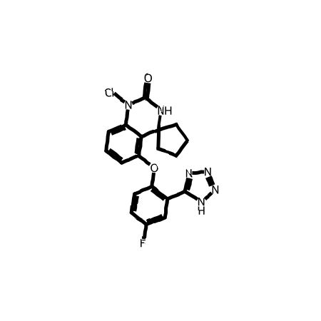 O=C1NC2(CCCC2)c2c(Oc3ccc(F)cc3-c3nnn[nH]3)cccc2N1Cl